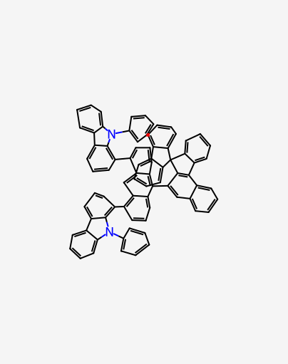 c1ccc(-n2c3ccccc3c3cccc(-c4cccc5c(-c6cc7ccccc7c7c6C6(c8ccccc8-c8ccccc86)c6ccccc6-7)c6cccc(-c7cccc8c9ccccc9n(-c9ccccc9)c78)c6cc45)c32)cc1